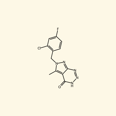 Cc1c2c(=O)[nH]nnc2nn1Cc1ccc(F)cc1Cl